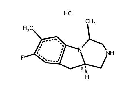 Cc1cc2c(cc1F)C[C@@H]1CNCC(C)N21.Cl